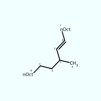 CCCC[CH]CCCCCC(C)C=CCCCCCCCC